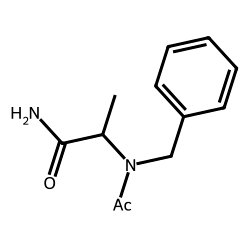 CC(=O)N(Cc1ccccc1)C(C)C(N)=O